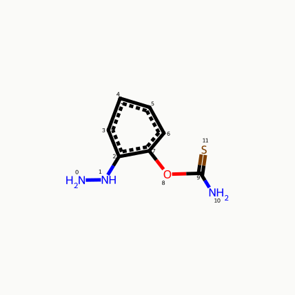 NNc1ccccc1OC(N)=S